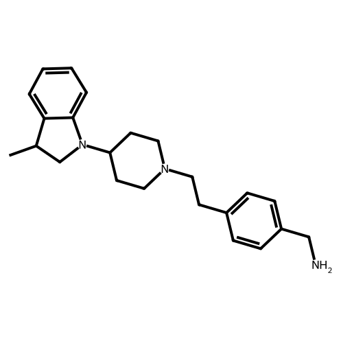 CC1CN(C2CCN(CCc3ccc(CN)cc3)CC2)c2ccccc21